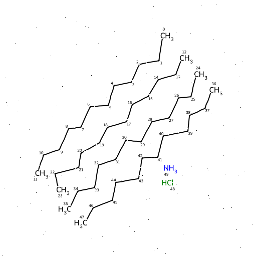 CCCCCCCCCCCC.CCCCCCCCCCCC.CCCCCCCCCCCC.CCCCCCCCCCCC.Cl.N